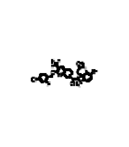 CC(c1nc2ccc(Br)c(F)c2n1C[C@@H]1CCO1)N1CCc2cc(C(F)(F)F)c(OCc3ccc(Cl)cc3F)nc2C1